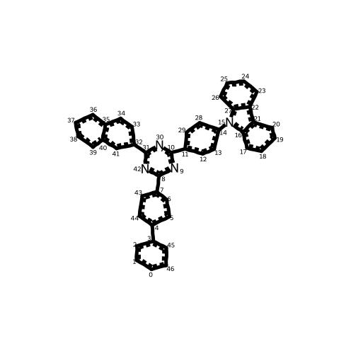 c1ccc(-c2ccc(-c3nc(-c4ccc(-n5c6ccccc6c6ccccc65)cc4)nc(-c4ccc5ccccc5c4)n3)cc2)cc1